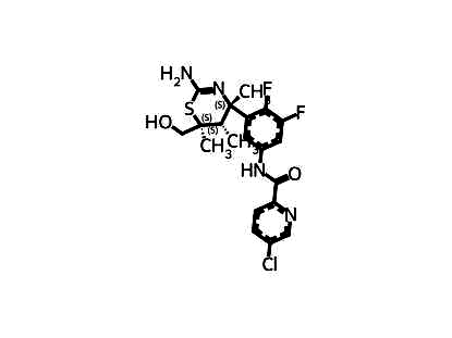 C[C@@H]1[C@@](C)(CO)SC(N)=N[C@]1(C)c1cc(NC(=O)c2ccc(Cl)cn2)cc(F)c1F